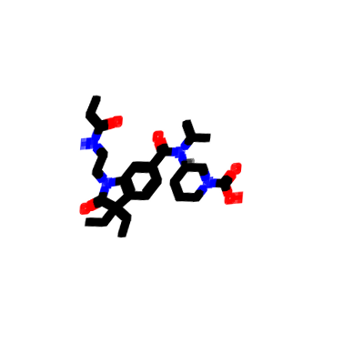 CCC(=O)NCCN1C(=O)C(CC)(CC)c2ccc(C(=O)N(C(C)C)[C@@H]3CCCN(C(=O)O)C3)cc21